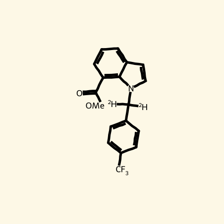 [2H]C([2H])(c1ccc(C(F)(F)F)cc1)n1ccc2cccc(C(=O)OC)c21